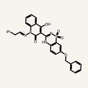 CC(C)C/C=N/n1c(=O)c(C2=NS(=O)(=O)c3cc(OCc4ccccc4)ccc3N2)c(O)c2ccccc21